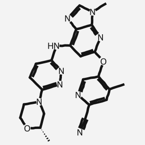 Cc1cc(C#N)ncc1Oc1cc(Nc2ccc(N3CCO[C@@H](C)C3)nn2)c2ncn(C)c2n1